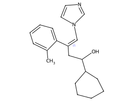 Cc1ccccc1/C(=C\n1ccnc1)CC(O)C1CCCCC1